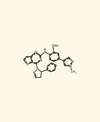 COc1cc(-c2cnn(C)c2)ccc1Nc1nc(N2N=CCC2c2ccccc2)c2sccc2n1